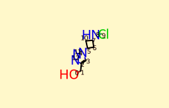 OCc1cn(C2CC(NCl)C2)nn1